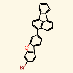 Brc1ccc2c(c1)oc1cc(-c3ccc4c5c(cccc35)-c3ccccc3-4)ccc12